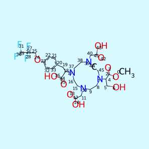 COC(=O)C(CO)N1CCN(CC(=O)O)CCN(C(Cc2ccc(OCC(F)(F)C(F)F)cc2)C(=O)O)CCN(CC(=O)O)CC1